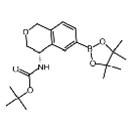 CC(C)(C)OC(=O)N[C@@H]1COCc2ccc(B3OC(C)(C)C(C)(C)O3)cc21